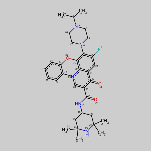 CC(C)N1CCN(c2c(F)cc3c(=O)c(C(=O)NC4CC(C)(C)NC(C)(C)C4)cn4c3c2Oc2ccccc2-4)CC1